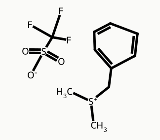 C[S+](C)Cc1ccccc1.O=S(=O)([O-])C(F)(F)F